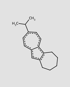 CC(C)c1ccc2cc3c(c-2cc1)CCCCC3